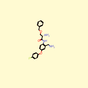 NCc1cc(Oc2ccc(F)cc2)ccc1NC(=O)[C@@H](N)COCc1ccccc1